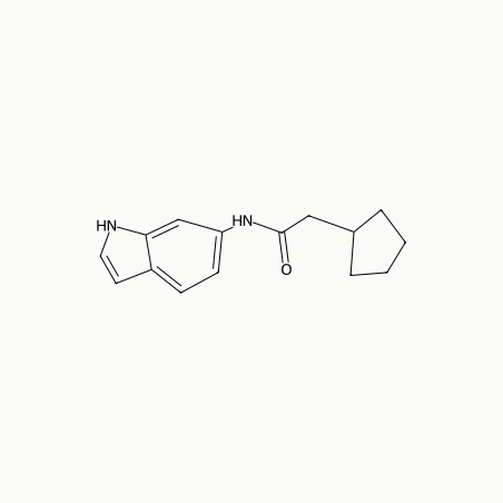 O=C(CC1CCCC1)Nc1ccc2cc[nH]c2c1